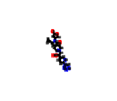 O=C1C=C(N2C(=O)C3(CCN(C[C@H](O)c4ccc(-n5cnnn5)nc4)CC3)CC2C2CC2)CO1